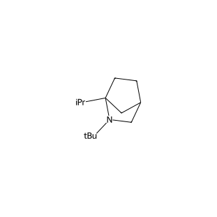 CC(C)C12CCC(CN1C(C)(C)C)C2